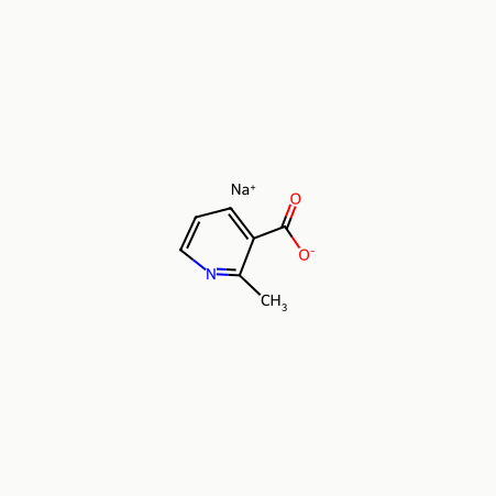 Cc1ncccc1C(=O)[O-].[Na+]